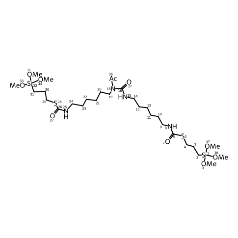 CO[Si](CCCSC(=O)NCCCCCCNC(=O)N(CCCCCCNC(=O)SCCC[Si](OC)(OC)OC)C(C)=O)(OC)OC